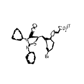 CCOC(=O)COC1C=CC(Br)=CC1=CC1SC(=Nc2ccccc2)N(c2ccccc2)C1=C=O